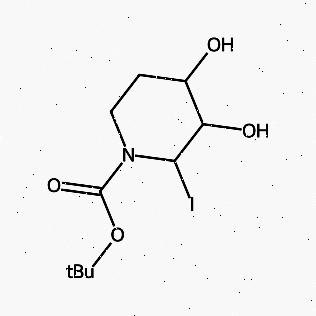 CC(C)(C)OC(=O)N1CCC(O)C(O)C1I